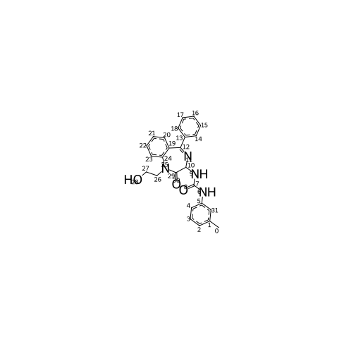 Cc1cccc(NC(=O)NC2N=C(c3ccccc3)c3ccccc3N(CCO)C2=O)c1